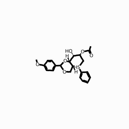 COc1ccc(C2OC[C@@H]3[C@H](O2)[C@H](O)[C@@H](OC(C)=O)C[SH]3c2ccccc2)cc1